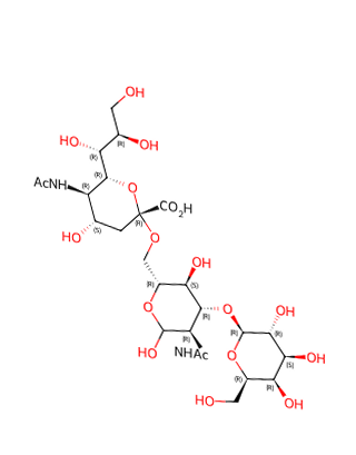 CC(=O)N[C@H]1[C@H]([C@H](O)[C@H](O)CO)O[C@@](OC[C@H]2OC(O)[C@H](NC(C)=O)[C@@H](O[C@@H]3O[C@H](CO)[C@H](O)[C@H](O)[C@H]3O)[C@@H]2O)(C(=O)O)C[C@@H]1O